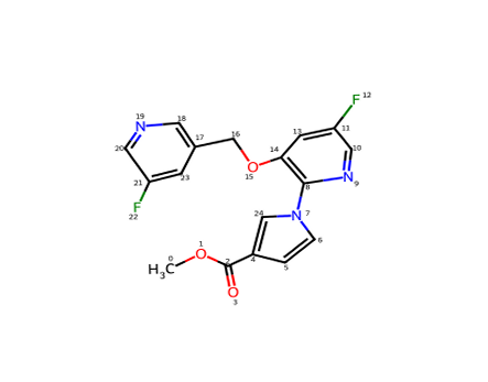 COC(=O)c1ccn(-c2ncc(F)cc2OCc2cncc(F)c2)c1